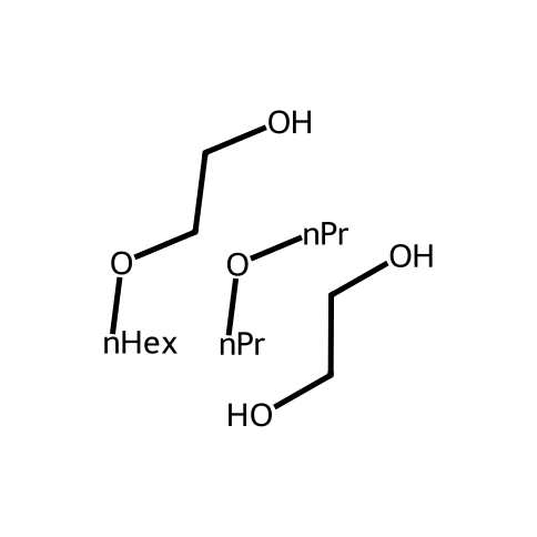 CCCCCCOCCO.CCCOCCC.OCCO